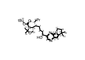 CC(C)C[C@H](CCC[C@@H](O)c1cnc2cc3n(c2n1)CCC3(C)C)[C@@H]1COC(C)(C)N1C(=O)OC(C)(C)C